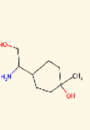 CC1(O)CCC(C(N)CO)CC1